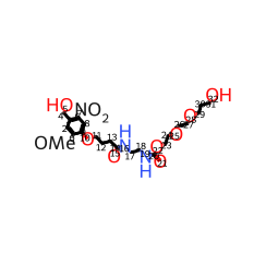 COc1cc(CO)c([N+](=O)[O-])cc1OCCCC(=O)NCCNC(=O)OCCOCCOCCCO